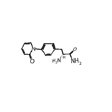 NC(=O)[C@H](N)Cc1ccc(-n2ccccc2=O)cc1